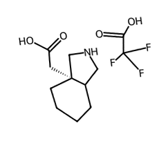 O=C(O)C(F)(F)F.O=C(O)C[C@@]12CCCCC1CNC2